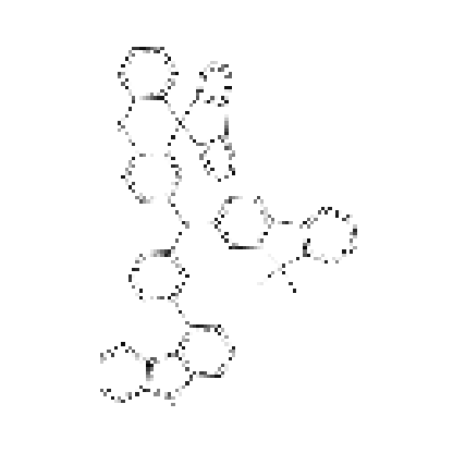 CC1(C)c2ccccc2-c2ccc(N(c3cccc(-c4cccc5sc6ccccc6c45)c3)c3ccc4c(c3)C3(c5ccccc5S4)c4ccccc4-c4ccccc43)cc21